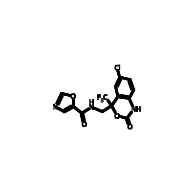 O=C1Nc2ccc(Cl)cc2C(CNC(=O)c2cnco2)(C(F)(F)F)O1